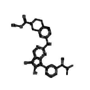 CC(C)n1c(=O)c2cnc(Nc3ccc4c(c3)CN(C(=O)OC(C)(C)C)CC4)nc2n1-c1cccc(C(=O)N(C)C)c1